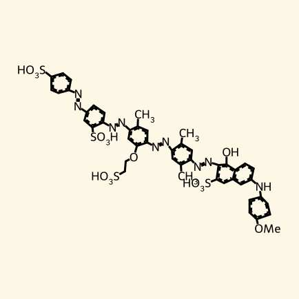 COc1ccc(Nc2ccc3c(O)c(N=Nc4cc(C)c(N=Nc5cc(C)c(N=Nc6ccc(N=Nc7ccc(S(=O)(=O)O)cc7)cc6S(=O)(=O)O)cc5OCCS(=O)(=O)O)cc4C)c(S(=O)(=O)O)cc3c2)cc1